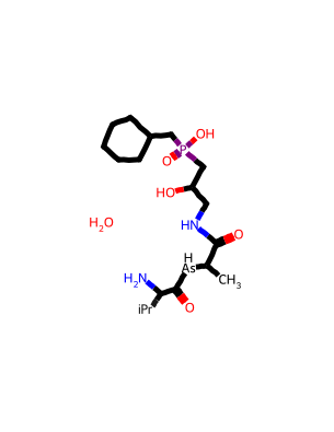 CC([AsH]C(=O)C(N)C(C)C)C(=O)NCC(O)CP(=O)(O)CC1CCCCC1.O